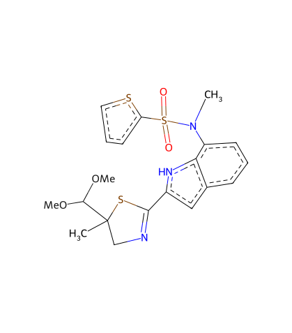 COC(OC)C1(C)CN=C(c2cc3cccc(N(C)S(=O)(=O)c4cccs4)c3[nH]2)S1